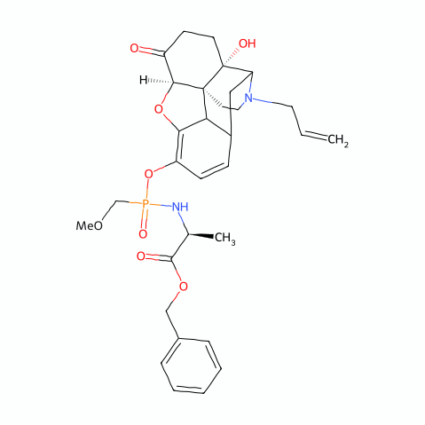 C=CCN1CC[C@@]23C4C5=C(OP(=O)(COC)N[C@@H](C)C(=O)OCc6ccccc6)C=CC4CC1[C@]2(O)CCC(=O)[C@@H]3O5